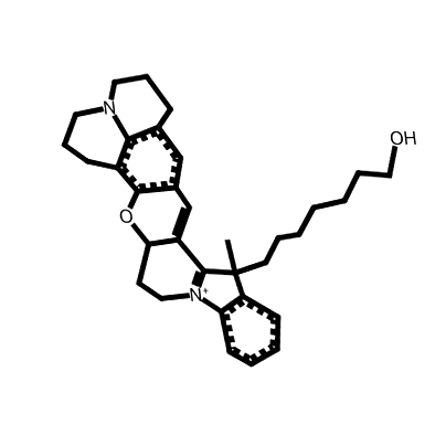 CC1(CCCCCCCO)C2=[N+](CCC3Oc4c(cc5c6c4CCCN6CCC5)C=C23)c2ccccc21